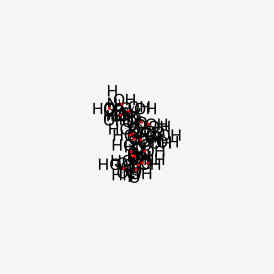 CC(=O)N[C@H]1[C@H](O[C@@H]2[C@H](O[C@]3(C(=O)O)C[C@H](O)[C@@H](NC(C)=O)[C@H]([C@H](O)[C@@H](CO)O[C@]4(C(=O)O)C[C@H](O)[C@@H](NC(C)=O)[C@H]([C@H](O)[C@@H](CO)O[C@]5(C(=O)O)C[C@H](O)[C@@H](NC(C)=O)[C@H]([C@H](O)[C@H](O)CO)O5)O4)O3)[C@@H](O)[C@H](O[C@H]3[C@H](O)[C@@H](O)[C@H](O)O[C@@H]3CO)O[C@@H]2CO)O[C@H](CO)[C@H](O)[C@@H]1O[C@@H]1O[C@H](CO)[C@H](O)[C@H](O[C@]2(C(=O)O)C[C@H](O)[C@@H](NC(C)=O)[C@H]([C@H](O)[C@H](O)CO)O2)[C@H]1O